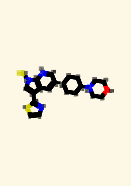 Sn1cc(-c2nccs2)c2cc([C@H]3CC[C@H](N4CCOCC4)CC3)cnc21